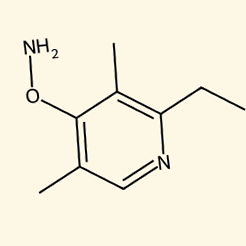 CCc1ncc(C)c(ON)c1C